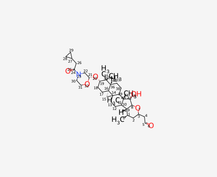 C[C@@H]1CC(CC=O)OC2[C@H]1[C@@]1(C)CCC34C[C@@]35CC[C@H](O[C@H]3CN(C(=O)CC6CC6)CCO3)C(C)(C)[C@@H]5CCC4[C@]1(C)[C@H]2O